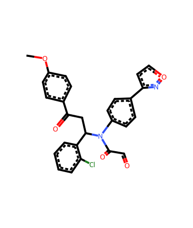 COc1ccc(C(=O)CC(c2ccccc2Cl)N(C(=O)C=O)c2ccc(-c3ccon3)cc2)cc1